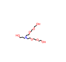 OCCCN(CCOCCOCCO)CCOCCOCCO